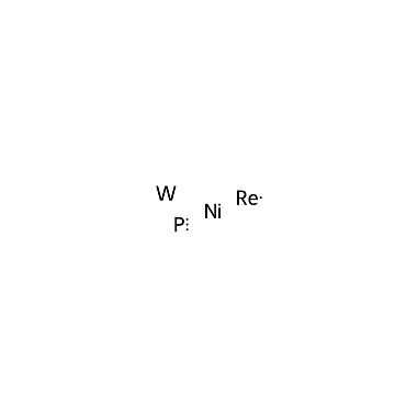 [Ni].[P].[Re].[W]